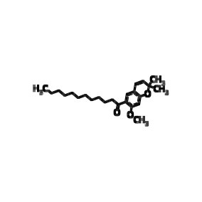 CCCCCCCCCCCC(=O)c1cc2c(cc1OC)OC(C)(C)C=C2